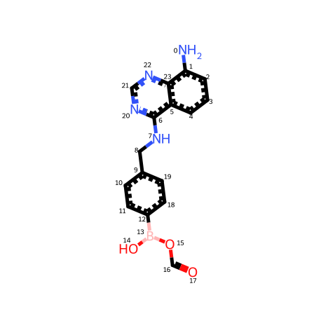 Nc1cccc2c(NCc3ccc(B(O)OC=O)cc3)ncnc12